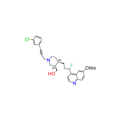 COc1ccc2nccc(C(F)CC[C@@H]3CCN(CC#Cc4cccc(Cl)c4)C[C@@H]3CO)c2c1